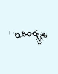 O=C(Nc1nccs1)C(c1ncn2c1CCC2)N1Cc2c(F)cc(-c3ccc(C45CC(CN6CCCC(O)CC6)C6CC4C65)cc3)cc2C1=O